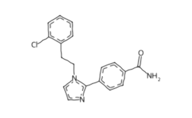 NC(=O)c1ccc(-c2nccn2CCc2ccccc2Cl)cc1